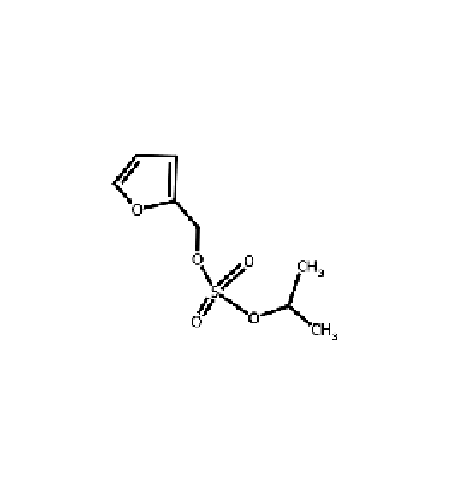 CC(C)OS(=O)(=O)OCc1ccco1